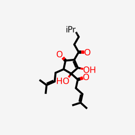 CC(C)=CCC(=O)C1(O)C(O)=C(C(=O)CCC(C)C)C(=O)C1CC=C(C)C